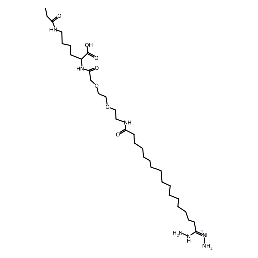 CCC(=O)NCCCCC(NC(=O)COCCOCCNC(=O)CCCCCCCCCCCCCCC/C(=N/N)NN)C(=O)O